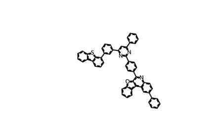 c1ccc(-c2ccc3nc(-c4ccc(-c5nc(-c6ccccc6)cc(-c6cccc(-c7cccc8c7sc7ccccc78)c6)n5)cc4)c4oc5ccccc5c4c3c2)cc1